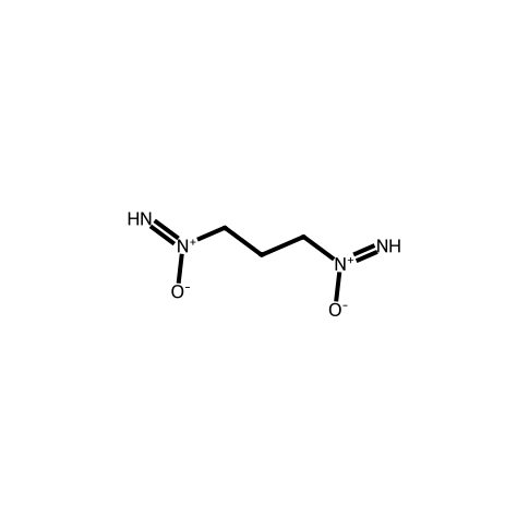 N=[N+]([O-])CCC[N+](=N)[O-]